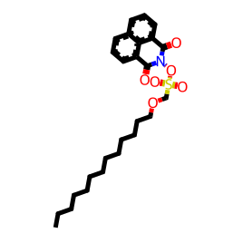 CCCCCCCCCCCCCOCS(=O)(=O)ON1C(=O)c2cccc3cccc(c23)C1=O